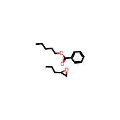 CCCC1CO1.CCCCCOC(=O)c1ccccc1